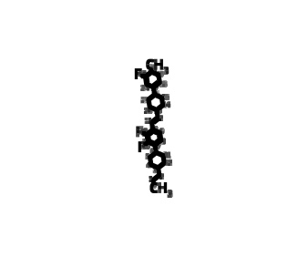 CCCC1CCC(c2ccc(/C=C/C3CCC(C4=CCC(C)C(F)=C4)CC3)c(F)c2F)CC1